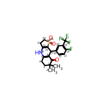 CC1(C)CCC2=C(C1=O)C(c1ccc(F)c(C(F)(F)F)c1)C1=C(CCS1(=O)=O)N2